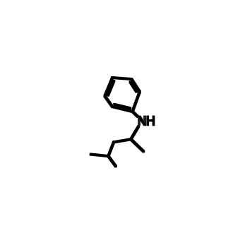 CC(C)CC(C)Nc1ccccc1